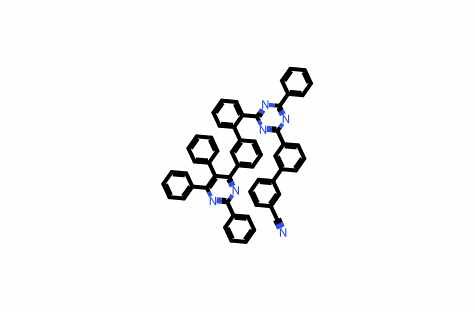 N#Cc1cccc(-c2cccc(-c3nc(-c4ccccc4)nc(-c4ccccc4-c4cccc(-c5nc(-c6ccccc6)nc(-c6ccccc6)c5-c5ccccc5)c4)n3)c2)c1